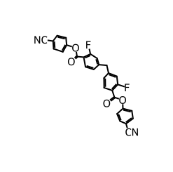 N#Cc1ccc(OC(=O)c2ccc(Cc3ccc(C(=O)Oc4ccc(C#N)cc4)c(F)c3)cc2F)cc1